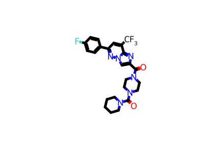 O=C(c1cn2nc(-c3ccc(F)cc3)cc(C(F)(F)F)c2n1)N1CCN(C(=O)N2CCCCC2)CC1